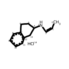 C/C=C\NC1CCc2ccccc2C1.Cl